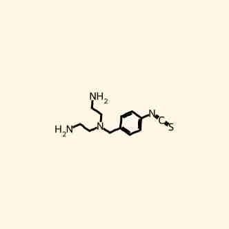 NCCN(CCN)Cc1ccc(N=C=S)cc1